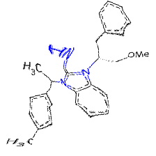 COC[C@@H](Cc1ccccc1)n1c(=N)n(C(C)c2ccc(C)cc2)c2ccccc21